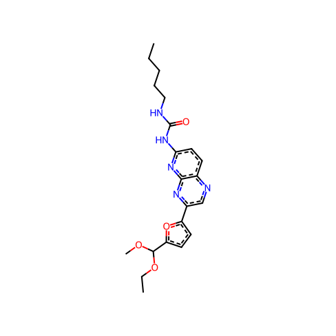 CCCCCNC(=O)Nc1ccc2ncc(-c3ccc(C(OC)OCC)o3)nc2n1